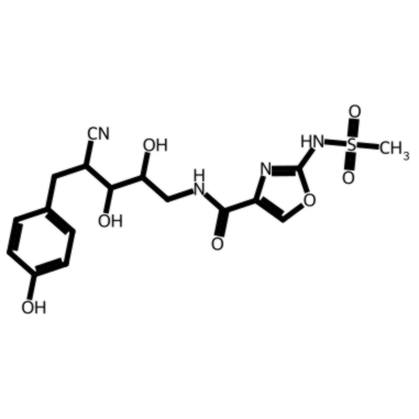 CS(=O)(=O)Nc1nc(C(=O)NCC(O)C(O)C(C#N)Cc2ccc(O)cc2)co1